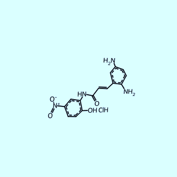 Cl.Nc1ccc(N)c(C=CC(=O)Nc2cc([N+](=O)[O-])ccc2O)c1